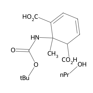 CC(C)(C)OC(=O)NC1(C)C(C(=O)O)=CC=CC1C(=O)O.CCCO